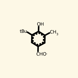 Cc1cc([C]=O)cc(C(C)(C)C)c1O